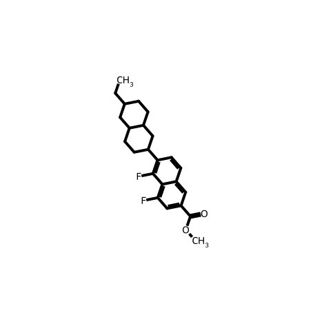 CCC1CCC2CC(c3ccc4cc(C(=O)OC)cc(F)c4c3F)CCC2C1